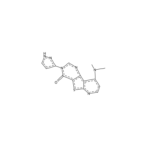 CN(C)c1ccnc2sc3c(=O)n(-c4cc[nH]n4)cnc3c12